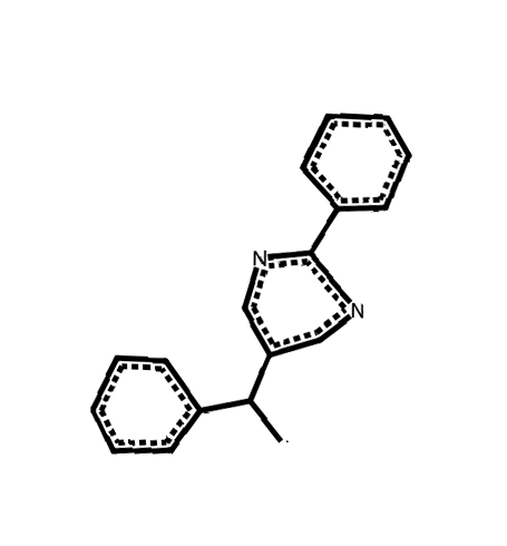 [CH2]C(c1ccccc1)c1cnc(-c2ccccc2)nc1